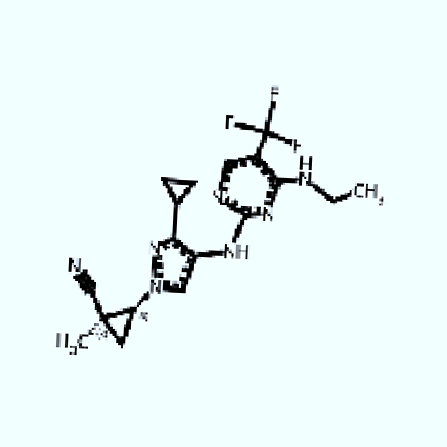 CCNc1nc(Nc2cn([C@H]3C[C@@]3(C)C#N)nc2C2CC2)ncc1C(F)(F)F